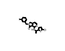 C=C(Nc1nccc2c1C(=O)N(Cc1cccc(I)c1)C2)c1ccc(Cl)s1